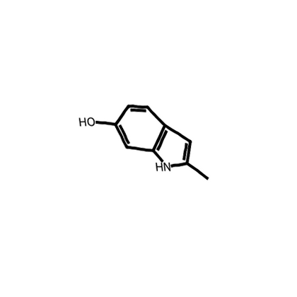 Cc1cc2ccc(O)cc2[nH]1